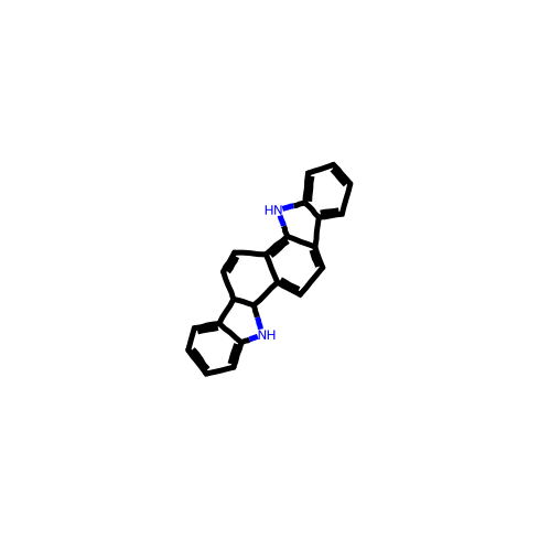 C1=CC2c3ccccc3NC2c2ccc3c([nH]c4ccccc43)c21